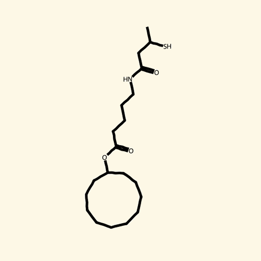 CC(S)CC(=O)NCCCCC(=O)OC1CCCCCCCCCC1